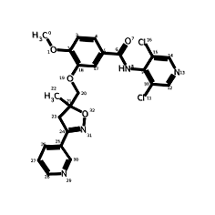 COc1ccc(C(=O)Nc2c(Cl)cncc2Cl)cc1OCC1(C)CC(c2cccnc2)=NO1